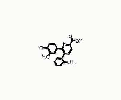 Cc1ccccc1-c1ccc(C(=O)O)nc1-c1ccc(Cl)c(O)c1